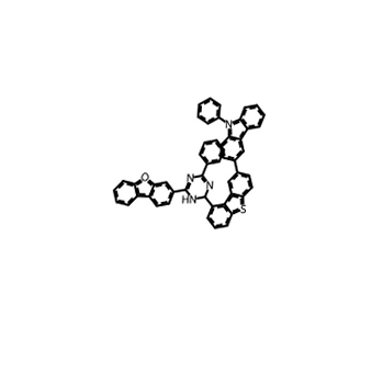 c1ccc(C2=NC(c3cccc4sc5ccc(-c6ccc7c(c6)c6ccccc6n7-c6ccccc6)cc5c34)NC(c3ccc4c(c3)oc3ccccc34)=N2)cc1